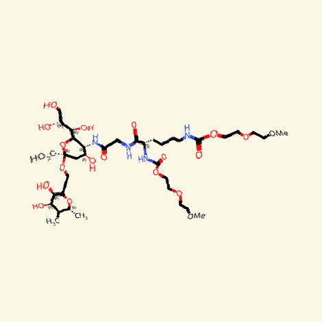 COCCOCCOC(=O)NCCCC[C@H](NC(=O)OCCOCCOC)C(=O)NCC(=O)N[C@H]1C([C@H](O)[C@H](O)CO)O[C@@](OCC2O[C@H](C)C(C)[C@@H](O)[C@H]2O)(C(=O)O)C[C@H]1O